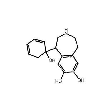 Oc1cc2c(cc1O)C(C1(O)C=CC=CC1)CNCC2